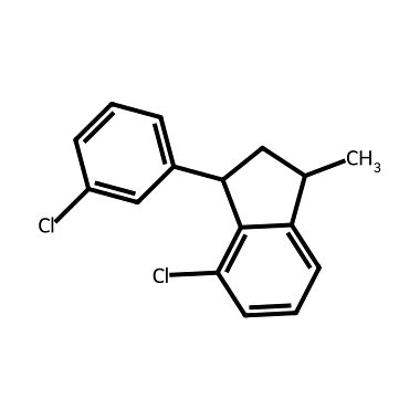 CC1CC(c2cccc(Cl)c2)c2c(Cl)cccc21